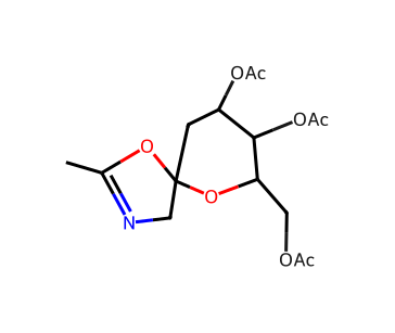 CC(=O)OCC1OC2(CN=C(C)O2)CC(OC(C)=O)C1OC(C)=O